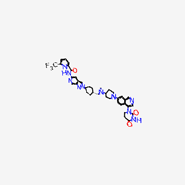 CN(C[C@H]1CC[C@H](n2cc3cc(NC(=O)c4cccc(C(F)(F)F)n4)ncc3n2)CC1)C1CCN(c2ccc3c(N4CCC(=O)NC4=O)cncc3c2)CC1